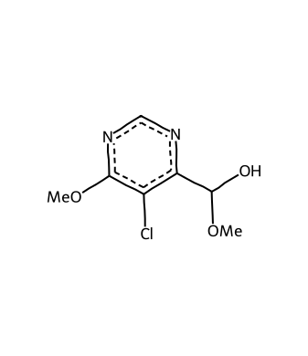 COc1ncnc(C(O)OC)c1Cl